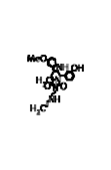 C=CCNCCN1C(=O)N2C(c3cccc(O)c3)c3[nH]c4ccc(OC)cc4c3CC2(C)C1=O